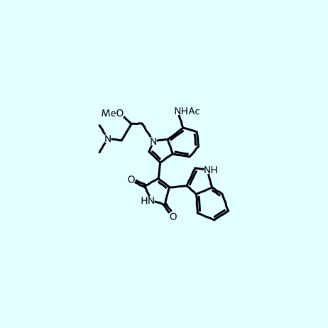 COC(CN(C)C)Cn1cc(C2=C(c3c[nH]c4ccccc34)C(=O)NC2=O)c2cccc(NC(C)=O)c21